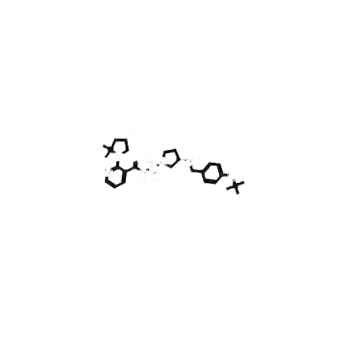 C[C@@H]1CN(c2ncccc2C(=O)NS(=O)(=O)N2CC[C@@H](NCc3ccc(OC(C)(C)C)cc3)C2)C(C)(C)C1